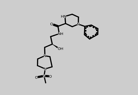 CS(=O)(=O)N1CCN(C[C@H](O)CNC(=O)C2CN(c3ccccc3)CCN2)CC1